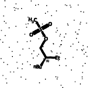 CCCC[C@H](CC)COS(C)(=O)=O